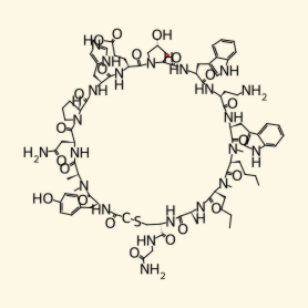 CCCC[C@H]1C(=O)N(C)[C@@H](CCCC)C(=O)N[C@@H](C)C(=O)N[C@H](C(=O)NCC(N)=O)CSCC(=O)N[C@@H](Cc2ccc(O)cc2)C(=O)N(C)[C@@H](C)C(=O)N[C@@H](CC(N)=O)C(=O)N2CCC[C@H]2C(=O)N[C@@H](Cc2cnc[nH]2)C(=O)N[C@@H](CCC(=O)O)C(=O)N2C[C@H](O)C[C@H]2C(=O)N[C@@H](Cc2c[nH]c3ccccc23)C(=O)N[C@@H](CCN)C(=O)N[C@@H](Cc2c[nH]c3ccccc23)C(=O)N1C